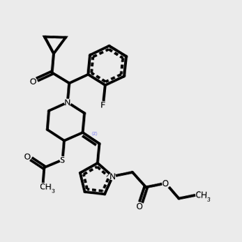 CCOC(=O)Cn1cccc1/C=C1/CN(C(C(=O)C2CC2)c2ccccc2F)CCC1SC(C)=O